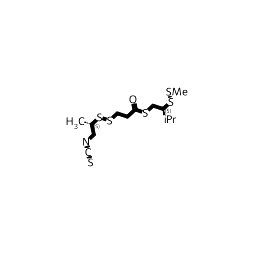 CSS[C@H](CSC(=O)CCSS[C@@H](C)CN=C=S)C(C)C